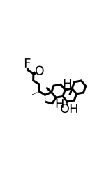 C[C@H](CCC(=O)CF)[C@H]1CC[C@H]2C3[C@H](O)CC4CCCCC4(C)[C@H]3CCC12C